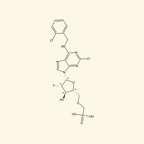 O=P(O)(O)COC[C@H]1O[C@@H](n2cnc3c(NCc4ccccc4Cl)nc(Cl)nc32)[C@@H](F)[C@@H]1O